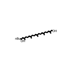 CCCCC(O)/C=C(\C)CC/C=C(\C)CC/C=C(\C)CC/C=C(\C)CC/C=C(\C)CO